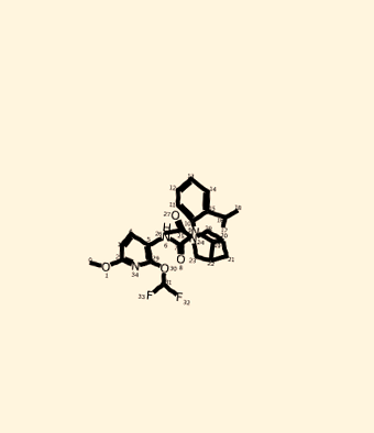 COc1ccc(NC(=O)N(c2ccccc2C(C)C)C2C3CC2CN(C(C)=O)C3)c(OC(F)F)n1